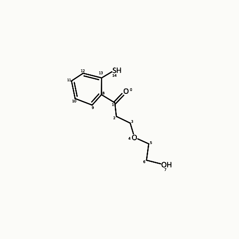 O=C(CCOCCO)c1ccccc1S